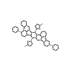 Cc1ccc(-c2c3cc4c5ccc(-c6ccccc6)cc5c5cccc(c3c(-c3ccc(C)s3)c3c6cc7ccccc7c7c(-c8ccccc8)ccc(c23)c67)c54)s1